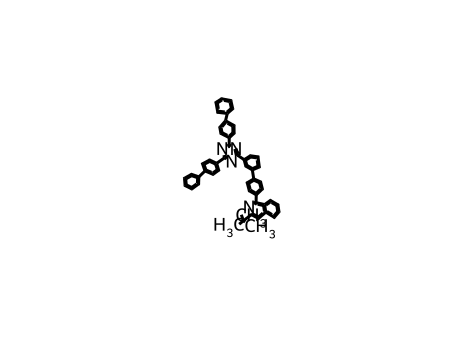 CC(C)(C)c1cc2ccccc2c(-c2ccc(-c3cccc(-c4nc(-c5ccc(-c6ccccc6)cc5)nc(-c5ccc(-c6ccccc6)cc5)n4)c3)cc2)n1